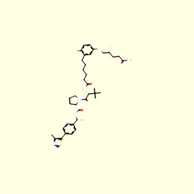 Cc1ncsc1-c1ccc([C@H](C)NC(=O)[C@@H]2C[C@@H](O)CN2C(=O)[C@@H](NC(=O)CCCCCc2cc(OC[C@@H](N)CCC(N)=O)ccc2F)C(C)(C)C)cc1.Cl